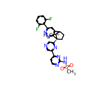 CC12CC13CC[C@]2(c1cncc(-c2ccnc(NS(C)(=O)=O)n2)n1)c1nnc(-c2c(F)cccc2F)cc13